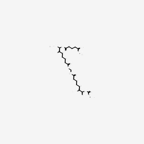 CCCCCC(OC(=O)CCCC(=O)OCCC)C(O)CCCCC(=O)NCNC(=O)CCCCC(O)C(CCCCC)OC(=O)OCCC